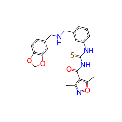 Cc1noc(C)c1C(=O)NC(=S)Nc1cccc(CNCc2ccc3c(c2)OCO3)c1